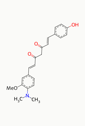 COc1cc(C=CC(=O)CC(=O)C=Cc2ccc(O)cc2)ccc1N(C)C